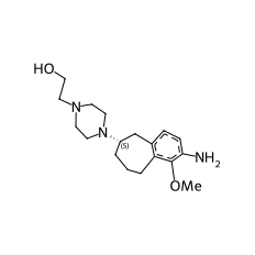 COc1c(N)ccc2c1CCC[C@H](N1CCN(CCO)CC1)C2